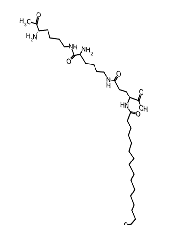 CC(=O)[C@@H](N)CCCCNC(=O)[C@@H](N)CCCCNC(=O)CC[C@H](NC(=O)CCCCCCCCCCCCCCC(=O)O)C(=O)O